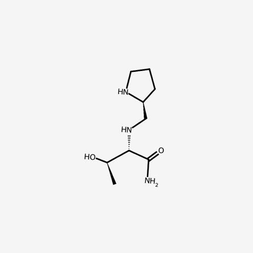 C[C@@H](O)[C@H](NC[C@@H]1CCCN1)C(N)=O